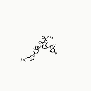 C[C@@H](O)C1CN(c2ccc(Nc3ccc(-c4cnc5cc(F)ccn45)c4c3C(=O)N(C(=O)O)C4)nc2)CCO1